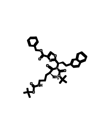 CC(C)(C)OC(=O)NCCC[C@@H](N)C(=O)N(C(=O)OC(C)(C)C)[C@H](CCc1ccc2ccccc2c1)c1nc(C(=O)OCc2ccccc2)co1